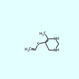 C=CSC1=C(C)NCNC1